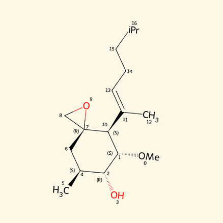 CO[C@@H]1[C@H](O)[C@@H](C)C[C@]2(CO2)[C@H]1C(C)=CCCC(C)C